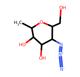 CC1OC(CO)C(N=[N+]=[N-])C(O)C1O